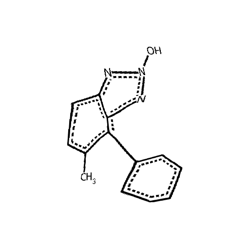 Cc1ccc2nn(O)nc2c1-c1ccccc1